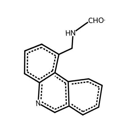 O=[C]NCc1cccc2ncc3ccccc3c12